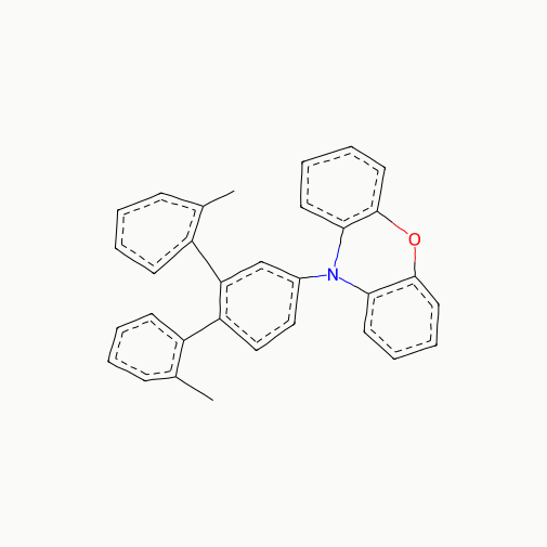 Cc1ccccc1-c1ccc(N2c3ccccc3Oc3ccccc32)cc1-c1ccccc1C